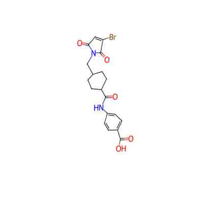 O=C(O)c1ccc(NC(=O)C2CCC(CN3C(=O)C=C(Br)C3=O)CC2)cc1